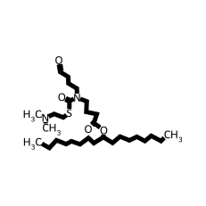 CCCCCCCCC(CCCCCCCC)OC(=O)CCCN(CCCC=O)C(=O)SCCN(C)C